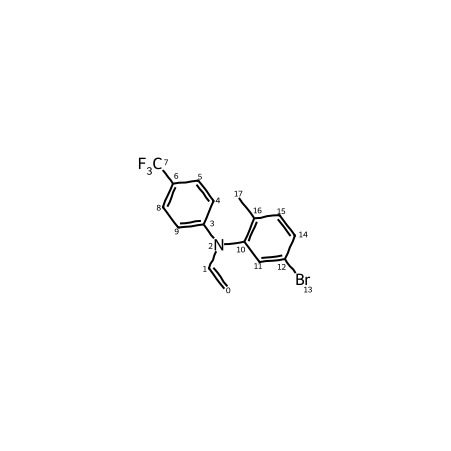 C=CN(c1ccc(C(F)(F)F)cc1)c1cc(Br)ccc1C